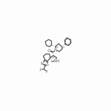 O=C([C@@H]1CNC[C@]12CCCc1nc(C(F)F)sc12)N1CC[C@@H](c2ccccc2)C[C@H]1C1CCCCC1